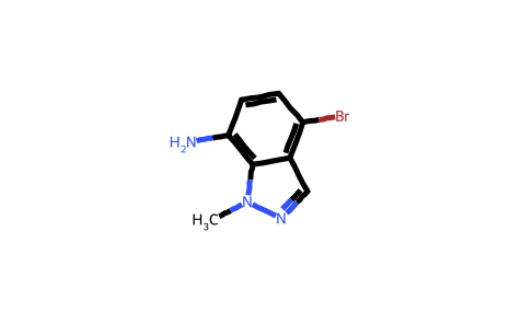 Cn1ncc2c(Br)ccc(N)c21